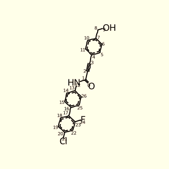 O=C(C#Cc1ccc(CO)cc1)Nc1ccc(-c2ccc(Cl)cc2F)cc1